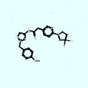 COc1ccc(Cn2ncc(NC(=O)Cc3ccc(N4CCC(F)(F)C4)nc3)n2)cc1